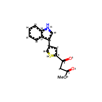 COC(=O)CC(=O)c1cc(-c2c[nH]c3ccccc23)cs1